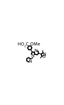 COc1cc(-c2cn(Cc3ccccn3)c3cc(-c4c(C)noc4C)cnc23)ccc1C(=O)O